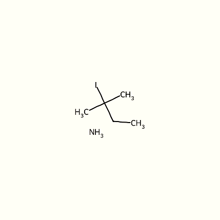 CCC(C)(C)I.N